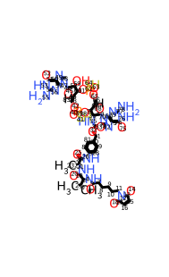 CC(C)[C@H](NC(=O)CCCCCN1C(=O)C=CC1=O)C(=O)N[C@@H](C)C(=O)Nc1ccc(COC(=O)NC2C3OP(=O)(S)OC[C@H]4O[C@@H](n5cnc6c(=O)[nH]c(N)nc65)C(O)C4OP(=O)(S)OC[C@H]3O[C@H]2n2cnc3c(=O)[nH]c(N)nc32)cc1